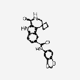 O=C(Nc1ccc2c(c1)OCO2)c1ccc2[nH]c3c(c2c1)C1(CCC1)CNC3=O